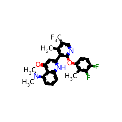 Cc1c(Oc2ncc(C(F)(F)F)c(C)c2-c2cc(=O)c3c(N(C)C)cccc3[nH]2)ccc(F)c1F